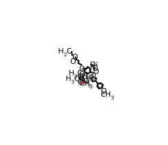 C=CCOC(=O)CCCOc1cc([N+](=O)[O-])c(C(=O)N2CC(c3ccc(OC)cc3)C[C@H]2CO[Si](C)(C)C(C)(C)C)cc1OC